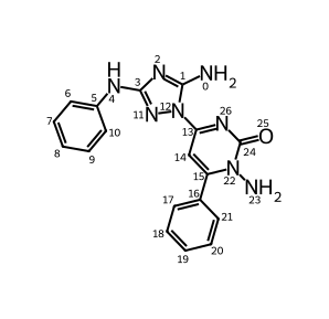 Nc1nc(Nc2ccccc2)nn1-c1cc(-c2ccccc2)n(N)c(=O)n1